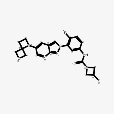 O=C(Nc1ccc(F)c(-n2cc3cc(N4CCC45COC5)cnc3n2)c1)N1CC(F)C1